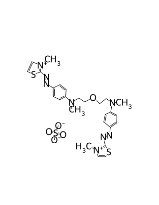 CN(CCOCCN(C)c1ccc(N=Nc2scc[n+]2C)cc1)c1ccc(N=Nc2scc[n+]2C)cc1.O=S(=O)([O-])[O-]